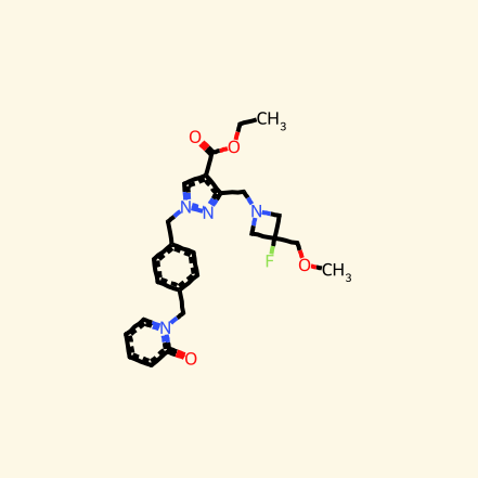 CCOC(=O)c1cn(Cc2ccc(Cn3ccccc3=O)cc2)nc1CN1CC(F)(COC)C1